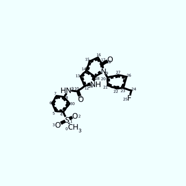 CS(=O)(=O)c1cccc(NC(=O)c2cc3ccc(=O)n(-c4ccc(CF)cc4)c3[nH]2)c1